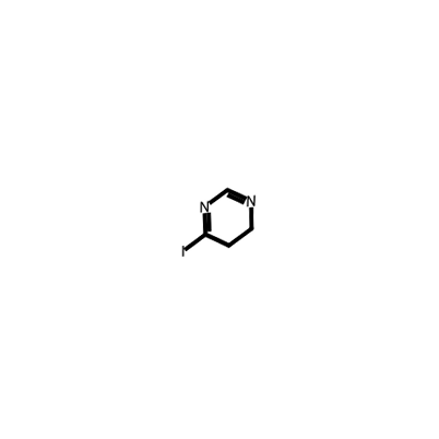 IC1=NC=NCC1